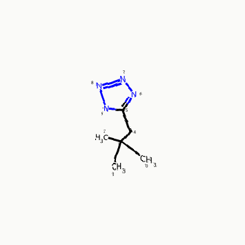 CC(C)(C)CC1=NN=N[N]1